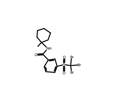 CC1(NC(=O)c2cccc(S(=O)(=O)C(Br)(Br)Br)c2)CCCCC1